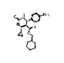 Nc1ccc(C2NC(=O)NC(C3CC3)=C2C(=O)OCC2CCCCC2)cc1